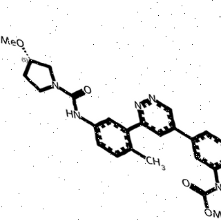 COC(=O)Nc1cc(-c2cnnc(-c3cc(NC(=O)N4CC[C@H](OC)C4)ccc3C)c2)ccn1